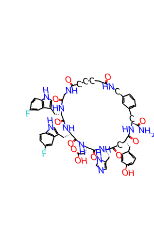 NC(=O)[C@@H]1Cc2cccc(c2)CNC(=O)CCCCC(=O)NCC(=O)N[C@@H](Cc2c[nH]c3ccc(F)cc23)C(=O)N[C@@H](Cc2c[nH]c3ccc(F)cc23)C(=O)N[C@@H](CC(=O)O)C(=O)N[C@@H](Cc2cnc[nH]2)C(=O)C[C@@H](Cc2ccc(O)cc2)C(=O)N1